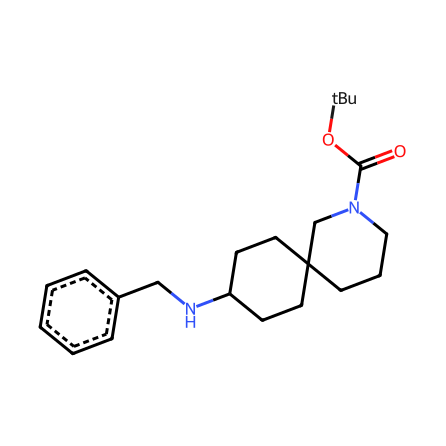 CC(C)(C)OC(=O)N1CCCC2(CCC(NCc3ccccc3)CC2)C1